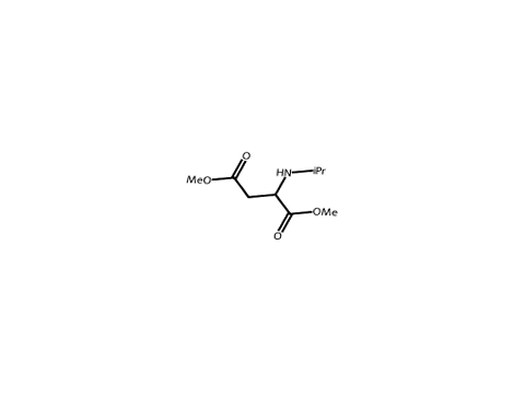 COC(=O)CC(NC(C)C)C(=O)OC